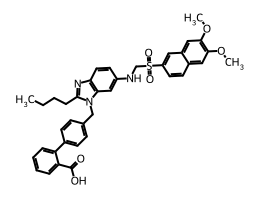 CCCCc1nc2ccc(NCS(=O)(=O)c3ccc4cc(OC)c(OC)cc4c3)cc2n1Cc1ccc(-c2ccccc2C(=O)O)cc1